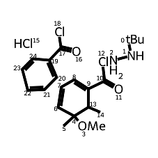 CC(C)(C)NN.COC1(C)C=CC=C(C(=O)Cl)C1C.Cl.O=C(Cl)c1ccccc1